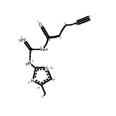 C#CCCC(=O)NC(=N)Nc1nc(C)cs1